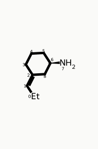 CC/C=C1/CCC[C@@H](N)C1